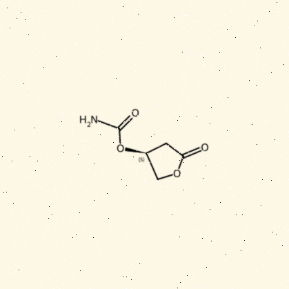 NC(=O)O[C@@H]1COC(=O)C1